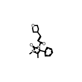 Cc1c(-c2ccccc2)n(C(=O)/C=C/C2CCOCC2)c(=O)n1C